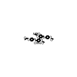 COc1cc(/C=N/c2ccc(OCC3CO3)cc2)cc(-c2cc(CNc3ccc(OC4CO4)cc3)cc(OC)c2OC2CO2)c1OC1CO1